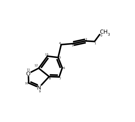 CCC#CCc1ccc2ncoc2c1